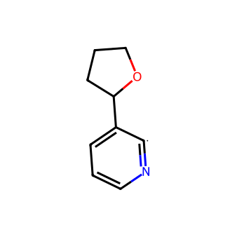 [c]1ncccc1C1CCCO1